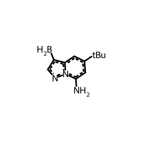 Bc1cnn2c(N)cc(C(C)(C)C)cc12